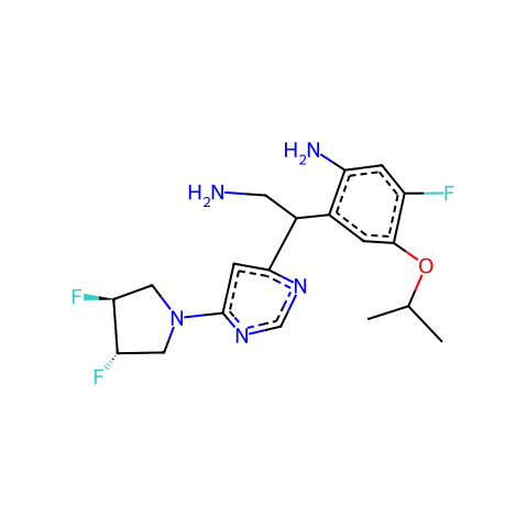 CC(C)Oc1cc(C(CN)c2cc(N3C[C@H](F)[C@@H](F)C3)ncn2)c(N)cc1F